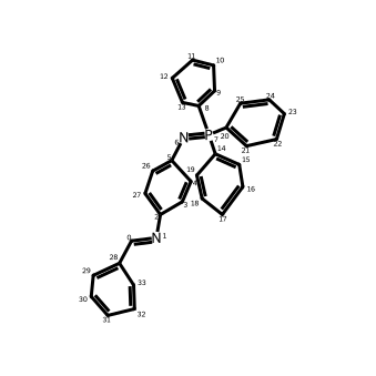 C(=Nc1ccc(N=P(c2ccccc2)(c2ccccc2)c2ccccc2)cc1)c1ccccc1